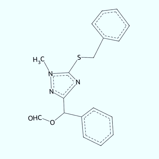 Cn1nc(C(OC=O)c2ccccc2)nc1SCc1ccccc1